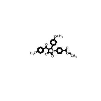 CCOC(=O)c1ccc(N2C(=O)C(=O)C(C(=O)c3ccc(C)cc3)C2c2ccc(OC)cc2)cc1